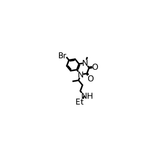 CCNCCC(C)n1c(=O)c(=O)n(C)c2cc(Br)ccc21